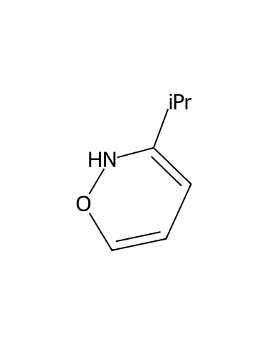 CC(C)C1=CC=CON1